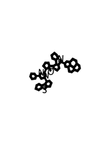 c1ccc(-c2cc(-c3cccc4sc5ccccc5c34)nc(-c3cccc4c3oc3ccc5c(-c6cc7ccc8cccc9ccc(c6)c7c89)nc6ccccc6c5c34)n2)cc1